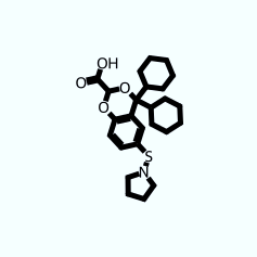 O=C(O)C1Oc2ccc(SN3CCCC3)cc2C(C2CCCCC2)(C2CCCCC2)O1